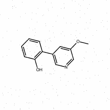 COc1cncc(-c2[c]cccc2O)c1